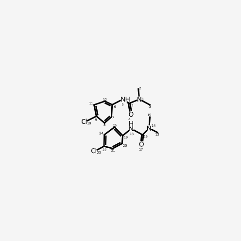 CN(C)C(=O)Nc1ccc(Cl)cc1.CN(C)C(=O)Nc1ccc(Cl)cc1